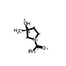 CC(C)C(=O)N1CC[C@@](C)(O)C1